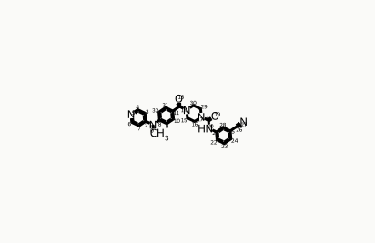 CN(c1ccncc1)c1ccc(C(=O)N2CCN(C(=O)Nc3cccc(C#N)c3)CC2)cc1